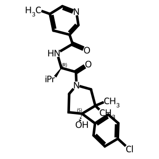 Cc1cncc(C(=O)N[C@@H](C(=O)N2CC[C@](O)(c3ccc(Cl)cc3)C(C)(C)C2)C(C)C)c1